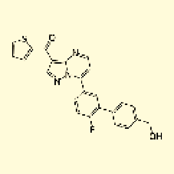 O=C(c1cccs1)c1cnn2c(-c3ccc(F)c(-c4ccc(CO)cc4)c3)ccnc12